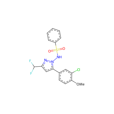 COc1ccc(-c2cc(C(F)F)nn2NS(=O)(=O)c2ccccc2)cc1Cl